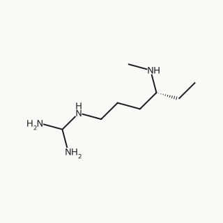 CC[C@H](CCCNC(N)N)NC